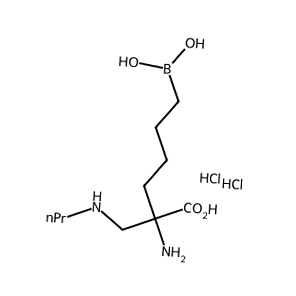 CCCNCC(N)(CCCCB(O)O)C(=O)O.Cl.Cl